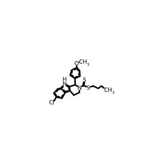 CCCCSC(=S)N1CCc2c([nH]c3ccc(Cl)cc23)C1c1ccc(OC)cc1